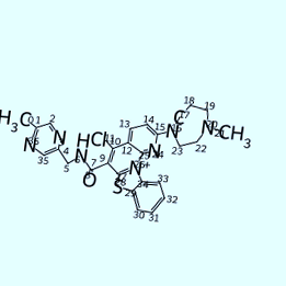 Cc1cnc(CNC(=O)c2c(Cl)c3ccc(N4CCCN(C)CC4)nc3[n+]3c2sc2ccccc23)cn1